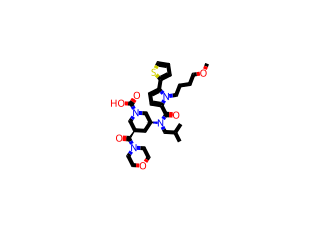 COCCCCn1c(C(=O)N(CC(C)C)[C@H]2C[C@@H](C(=O)N3CCOCC3)CN(C(=O)O)C2)ccc1-c1cccs1